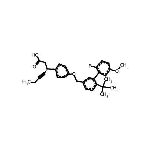 CCC#C[C@@H](CC(=O)O)c1ccc(OCc2ccc(C(C)(C)C)c(-c3cc(OC)ccc3F)c2)cc1